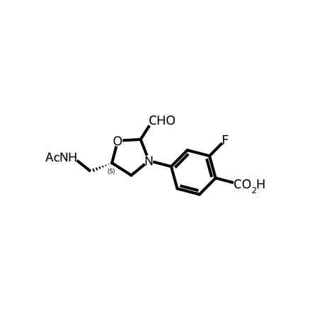 CC(=O)NC[C@H]1CN(c2ccc(C(=O)O)c(F)c2)C(C=O)O1